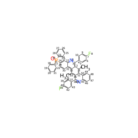 Cc1c2c(-c3ccc(F)cc3)nc3cc(P(=O)(c4ccccc4)c4ccccc4)ccc3c2c(C)c2c(-c3ccc(F)cc3)nc3ccccc3c12